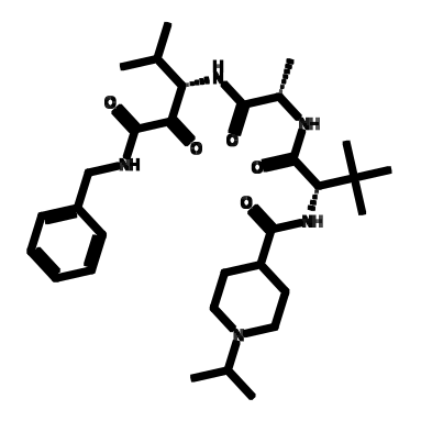 CC(C)[C@H](NC(=O)[C@H](C)NC(=O)[C@@H](NC(=O)C1CCN(C(C)C)CC1)C(C)(C)C)C(=O)C(=O)NCc1ccccc1